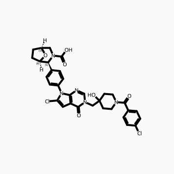 O=C(c1ccc(Cl)cc1)N1CCC(O)(Cn2cnc3c(cc(Cl)n3-c3ccc([C@H]4[C@H]5CC[C@@H](CN4C(=O)O)O5)cc3)c2=O)CC1